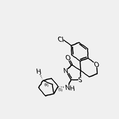 O=C1N=C(N[C@H]2C[C@@H]3CCC2C3)SC12CCOc1ccc(Cl)cc12